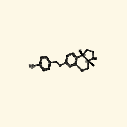 C[C@@]12COc3cc(OCc4ccc(C(F)(F)F)cc4)ccc3[C@@H]1CCN2